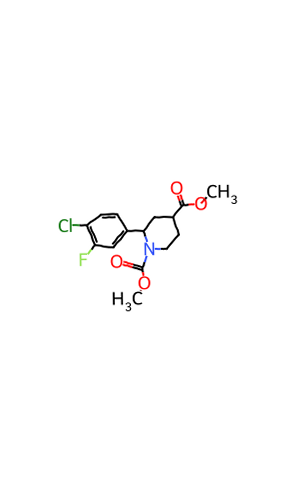 COC(=O)C1CCN(C(=O)OC)C(c2ccc(Cl)c(F)c2)C1